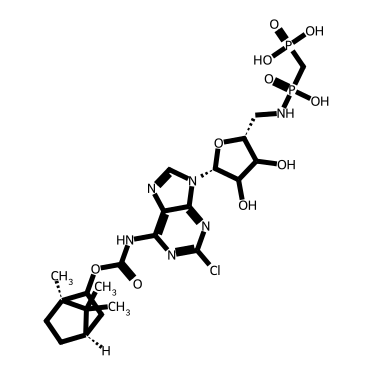 CC1(C)[C@@H]2CC[C@@]1(C)C(OC(=O)Nc1nc(Cl)nc3c1ncn3[C@@H]1O[C@H](CNP(=O)(O)CP(=O)(O)O)C(O)C1O)C2